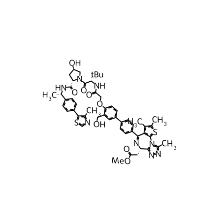 COC(=O)C[C@@H]1N=C(c2ccc(-c3ccc(OCC(=O)N[C@H](C(=O)N4C[C@H](O)C[C@H]4C(=O)N[C@@H](C)c4ccc(-c5scnc5C)cc4)C(C)(C)C)c(CO)c3)cc2)c2c(sc(C)c2C)-n2c(C)nnc21